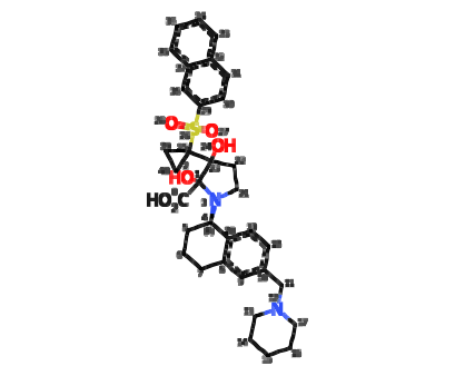 O=C(O)C1(O)N([C@@H]2CCCc3cc(CN4CCCCC4)ccc32)CCC1(O)C1(S(=O)(=O)c2ccc3ccccc3c2)CC1